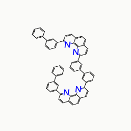 c1ccc(-c2cccc(-c3ccc4ccc5ccc(-c6cccc(-c7cccc(-c8ccc9ccc%10ccc(-c%11cccc(-c%12ccccc%12)c%11)nc%10c9n8)c7)c6)nc5c4n3)c2)cc1